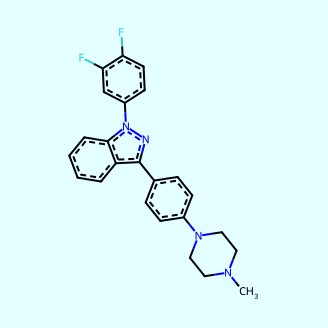 CN1CCN(c2ccc(-c3nn(-c4ccc(F)c(F)c4)c4ccccc34)cc2)CC1